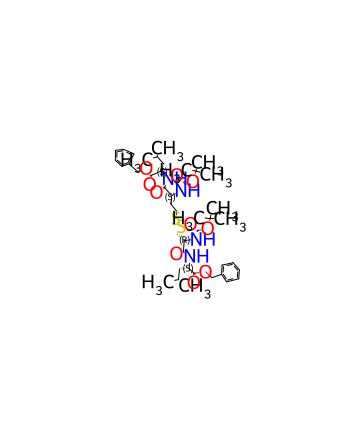 CC(C)C[C@H](NC(=O)[C@H](CCSSC[C@H](NC(=O)OC(C)(C)C)C(=O)N[C@@H](CC(C)C)C(=O)OCc1ccccc1)NC(=O)OC(C)(C)C)C(=O)OCc1ccccc1